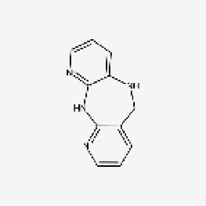 c1cnc2c(c1)CNc1cccnc1N2